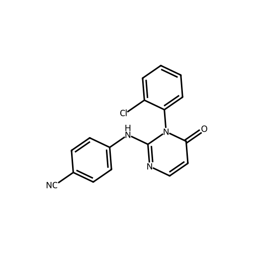 N#Cc1ccc(Nc2nccc(=O)n2-c2ccccc2Cl)cc1